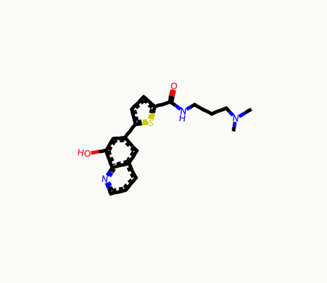 CN(C)CCCNC(=O)c1ccc(-c2cc(O)c3ncccc3c2)s1